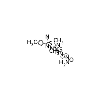 CCc1nc2sc(N3CCC4C3CCN4C(N)=O)nn2c1N(C)c1nc(-c2ccc(C)cc2)c(C#N)s1